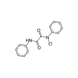 O=C(Nc1ccccc1)C(=O)N(Cl)c1ccccc1